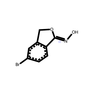 O/N=C1\OCc2cc(Br)ccc21